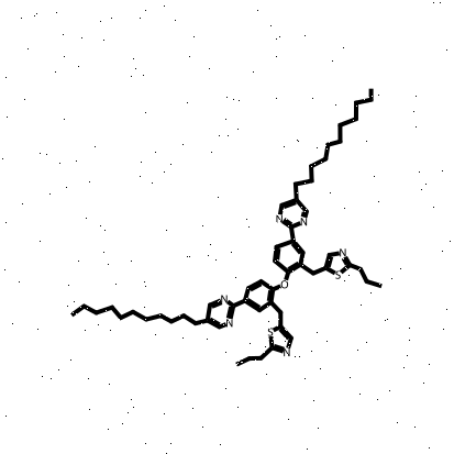 CCCCCCCCCCCc1cnc(-c2ccc(Oc3ccc(-c4ncc(CCCCCCCCCCC)cn4)cc3Cc3cnc(CCC)s3)c(Cc3cnc(CCC)s3)c2)nc1